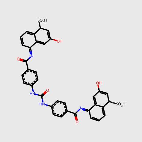 O=C(Nc1ccc(C(=O)N=C2C=CC=C3C2=CC(O)=CC3S(=O)(=O)O)cc1)Nc1ccc(C(=O)N=C2C=CC=C3C2=CC(O)=CC3S(=O)(=O)O)cc1